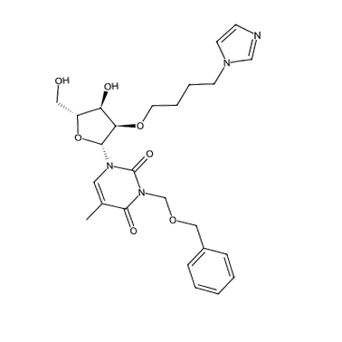 Cc1cn([C@@H]2O[C@H](CO)[C@@H](O)[C@H]2OCCCCn2ccnc2)c(=O)n(COCc2ccccc2)c1=O